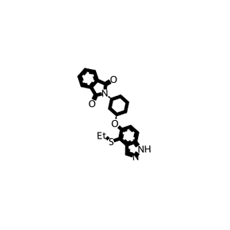 CCSc1c(O[C@H]2CCC[C@@H](N3C(=O)c4ccccc4C3=O)C2)ccc2[nH]ncc12